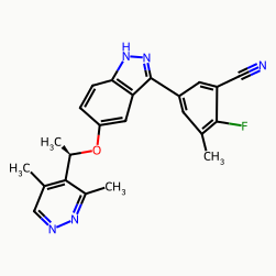 Cc1cc(-c2n[nH]c3ccc(O[C@H](C)c4c(C)cnnc4C)cc23)cc(C#N)c1F